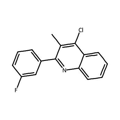 Cc1c(-c2cccc(F)c2)nc2ccccc2c1Cl